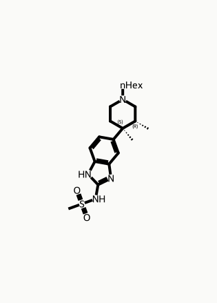 CCCCCCN1CC[C@](C)(c2ccc3[nH]c(NS(C)(=O)=O)nc3c2)[C@@H](C)C1